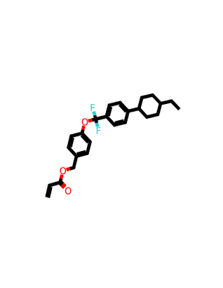 C=CC(=O)OCc1ccc(OC(F)(F)c2ccc(C3CCC(CC)CC3)cc2)cc1